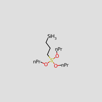 CCCOS(CCC[SiH3])(OCCC)OCCC